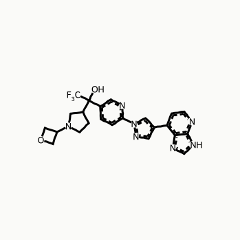 OC(c1ccc(-n2cc(-c3ccnc4[nH]cnc34)cn2)nc1)(C1CCN(C2COC2)C1)C(F)(F)F